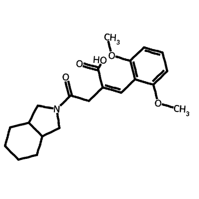 COc1cccc(OC)c1/C=C(/CC(=O)N1CC2CCCCC2C1)C(=O)O